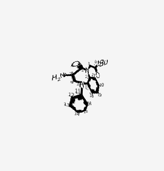 CC(C)(C)C(=O)CN1C(=O)C(N)CN(c2ccccc2)c2ccccc21